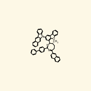 C[C@@H]1CC/C(c2ccc3ccccc3c2)=N\C(c2ccc(-c3ccccc3)cc2)=N/C1c1cc(-n2c3ccccc3c3cc4ccccc4cc32)cc2c1oc1ccccc12